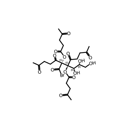 CC(=O)CCC(=O)O[C@](C(=O)Br)(C(=O)CCC(C)=O)[C@](OC(=O)CCC(C)=O)(C(=O)CCC(C)=O)[C@H](O)[C@H](O)CO